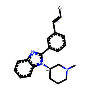 CC(=O)/C=C/c1cccc(-c2nc3ccccc3n2[C@@H]2CCCN(C)C2)c1